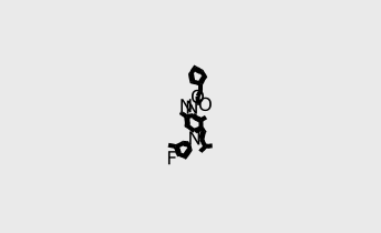 Cc1cc(-n2c(C(C)C)cc3c(C)c4c(cnn4C(=O)OCc4ccccc4)cc32)ccc1F